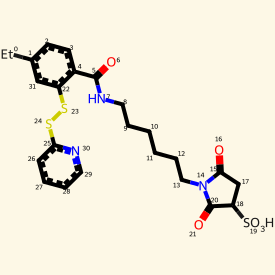 CCc1ccc(C(=O)NCCCCCCN2C(=O)CC(S(=O)(=O)O)C2=O)c(SSc2ccccn2)c1